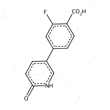 O=C(O)c1ccc(-c2ccc(=O)[nH]c2)cc1F